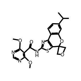 COc1ncnc(OC)c1C(=O)Nc1nc2c(s1)C1(COC1)Oc1cc(C(C)C)ccc1-2